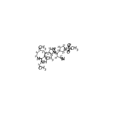 CCNC1=N/CCC(C)C/C(c2cnn(C(CC#N)C3CCN(S(C)(=O)=O)C3)c2)=C\1C